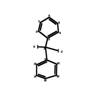 IC(I)(c1ccccc1)c1ccccc1